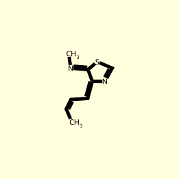 C\C=C/C=C1/N=CS/C1=N\C